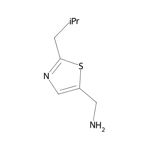 CC(C)Cc1ncc(CN)s1